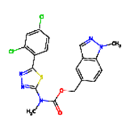 CN(C(=O)OCc1ccc2c(cnn2C)c1)c1nnc(-c2ccc(Cl)cc2Cl)s1